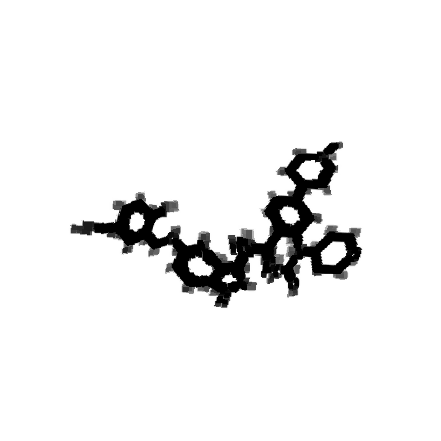 CN1CCC(c2ccc(C(=O)Nc3n[nH]c4ccc(OCc5cc(F)ccc5F)nc34)c(N(C(=O)C(F)(F)F)C3CCOCC3)c2)CC1